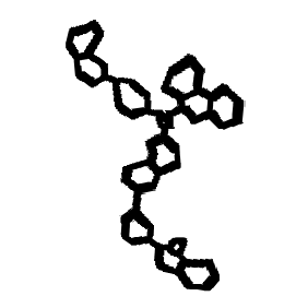 c1cc(-c2ccc3cc(N(c4ccc(-c5ccc6ccccc6c5)cc4)c4cc5ccccc5c5ccccc45)ccc3c2)cc(-c2cc3ccccc3o2)c1